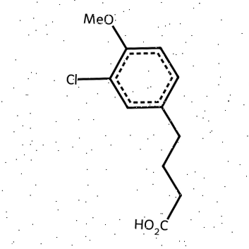 COc1ccc(CCCC(=O)O)cc1Cl